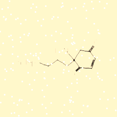 CCCCCCCCCCC1(N)CC(=O)C=CC1=O